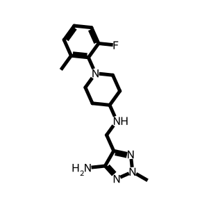 Cc1cccc(F)c1N1CCC(NCc2nn(C)nc2N)CC1